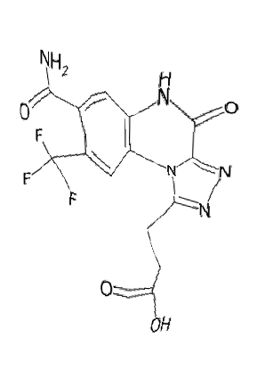 NC(=O)c1cc2[nH]c(=O)c3nnc(CCC(=O)O)n3c2cc1C(F)(F)F